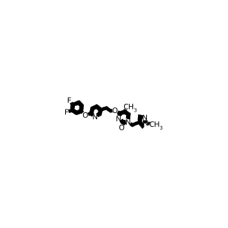 Cc1cn(Cc2cnn(C)c2)c(=O)nc1OCCc1ccc(Oc2ccc(F)c(F)c2)nc1